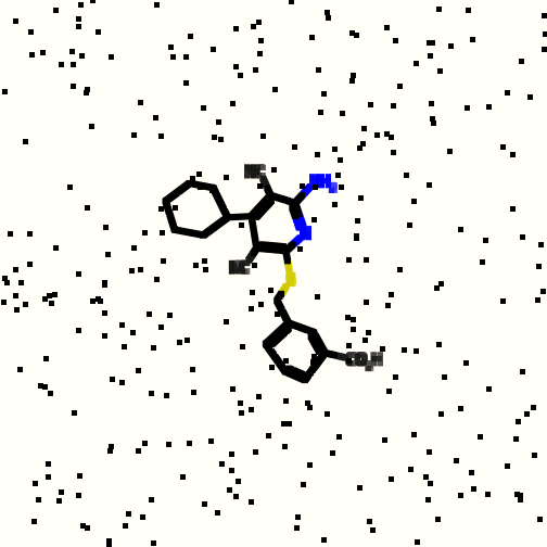 N#Cc1c(N)nc(SCc2cccc(C(=O)O)c2)c(C#N)c1C1CCCCC1